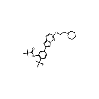 CC(C)(C)C(=O)Nc1cc(-c2cn3nc(OCCN4CCCCC4)ccc3n2)ccc1C(F)(F)F